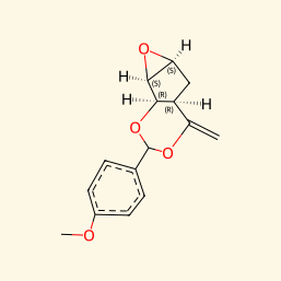 C=C1OC(c2ccc(OC)cc2)O[C@H]2[C@H]3O[C@H]3C[C@@H]12